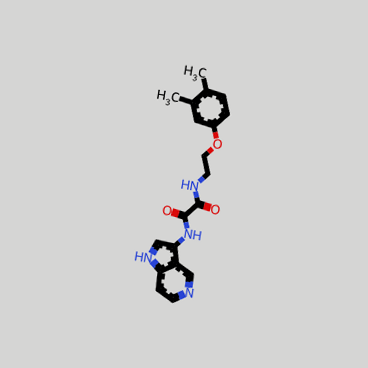 Cc1ccc(OCCNC(=O)C(=O)Nc2c[nH]c3ccncc23)cc1C